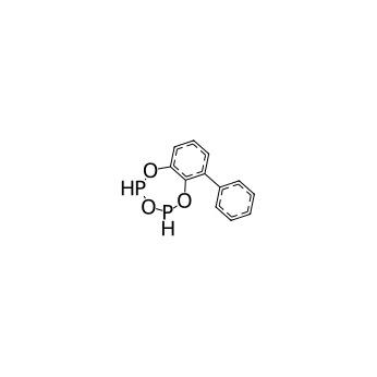 c1ccc(-c2cccc3c2OPOPO3)cc1